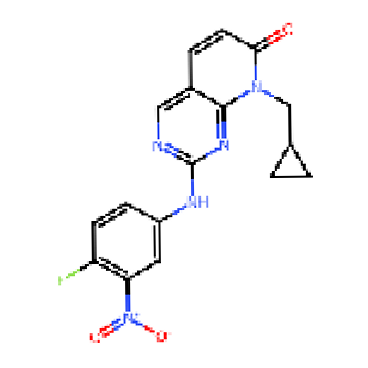 O=c1ccc2cnc(Nc3ccc(F)c([N+](=O)[O-])c3)nc2n1CC1CC1